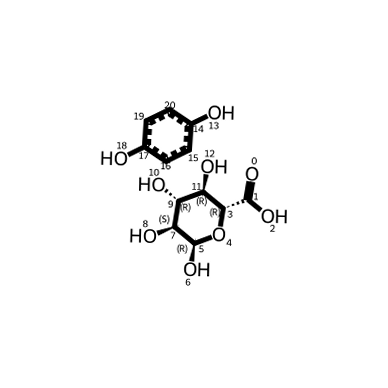 O=C(O)[C@@H]1O[C@@H](O)[C@@H](O)[C@H](O)[C@H]1O.Oc1ccc(O)cc1